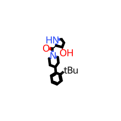 CC(C)(C)c1ccccc1C1CCN(C(=O)[C@H]2NCC[C@@H]2O)CC1